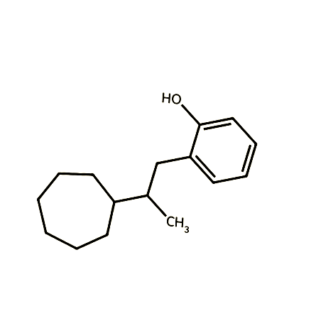 CC(Cc1ccccc1O)C1CCCCCC1